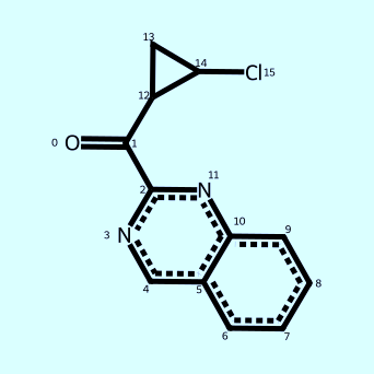 O=C(c1ncc2ccccc2n1)C1CC1Cl